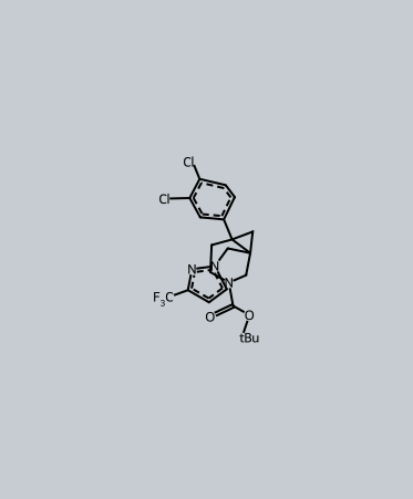 CC(C)(C)OC(=O)N1CCC2(c3ccc(Cl)c(Cl)c3)CC2(Cn2ccc(C(F)(F)F)n2)C1